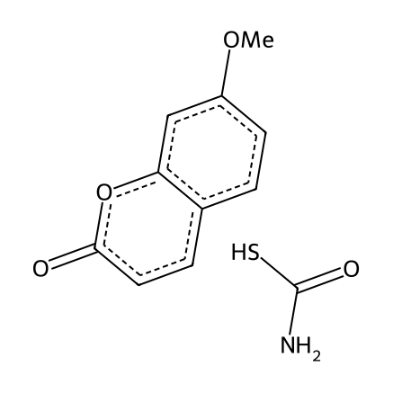 COc1ccc2ccc(=O)oc2c1.NC(=O)S